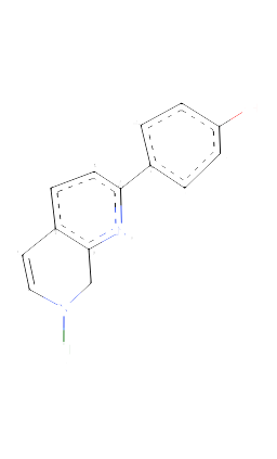 Oc1ccc(-c2ccc3c(n2)CN(Cl)C=C3)cc1